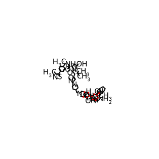 Cc1ncsc1-c1ccc([C@H](C)NC(=O)[C@@H]2C[C@@H](O)CN2C(=O)[C@@H](c2cc(N3CCC(CN4CCC5(CC4)CC(N4CCO[C@@H](C(C)(C)N6C7CCC6CN(c6cc(-c8ccccc8O)nnc6N)C7)C4)C5)CC3)no2)C(C)C)cc1